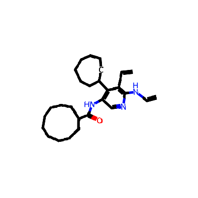 C=CNc1ncc(NC(=O)C2CCCCCCCCC2)c(C2CCCCCCC2)c1C=C